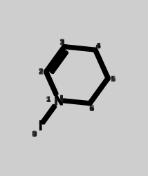 IN1C=CCCC1